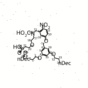 CCCCCCCCCCCCOc1cc(COc2ccc([N+](=O)[O-])c(CN(CCOCCP(=O)(O)OCC)C(=O)O)c2)cc(OCCCCCCCCCCCC)c1